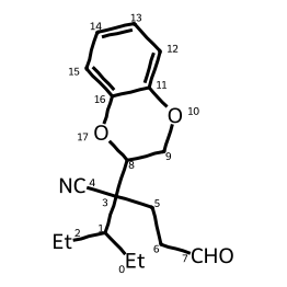 CCC(CC)C(C#N)(CCC=O)C1COc2ccccc2O1